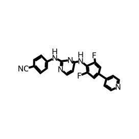 N#Cc1ccc(Nc2nccc(Nc3c(F)cc(-c4ccncc4)cc3F)n2)cc1